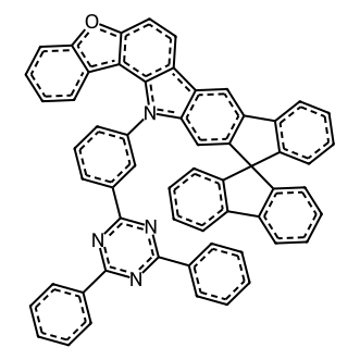 c1ccc(-c2nc(-c3ccccc3)nc(-c3cccc(-n4c5cc6c(cc5c5ccc7oc8ccccc8c7c54)-c4ccccc4C64c5ccccc5-c5ccccc54)c3)n2)cc1